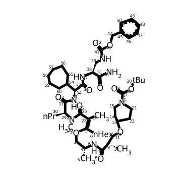 CCCCCC/C(OC[C@@H](C)NC(=O)[C@@H](C)COC1CCN(C(=O)OC(C)(C)C)CC1)=C(\C)C(=O)N(C)[C@@H](CCC)C(=O)N[C@H](C(=O)N[C@@H](CNC(=O)OCc1ccccc1)C(N)=O)C1CCCCCC1